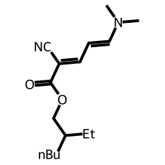 CCCCC(CC)COC(=O)C(C#N)=CC=CN(C)C